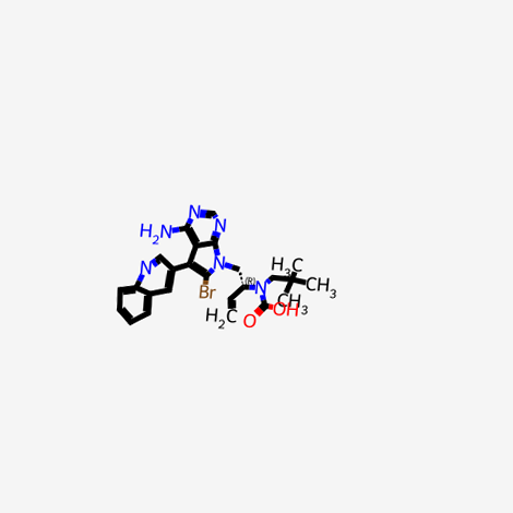 C=C[C@H](Cn1c(Br)c(-c2cnc3ccccc3c2)c2c(N)ncnc21)N(CC(C)(C)C)C(=O)O